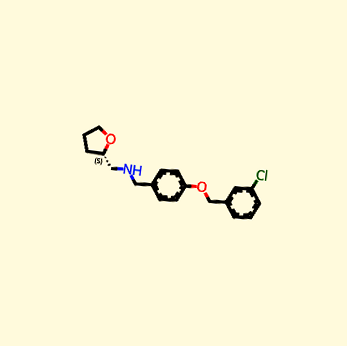 Clc1cccc(COc2ccc(CNC[C@@H]3CCCO3)cc2)c1